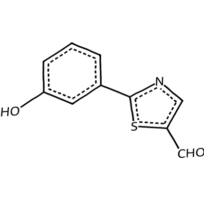 O=Cc1cnc(-c2cccc(O)c2)s1